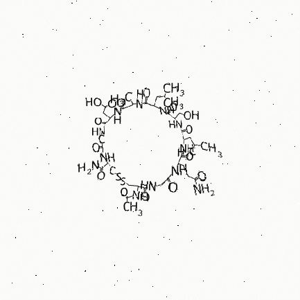 CC(=O)NC1CSSCC(C(N)=O)NC(=O)CNC(=O)C(CC(=O)O)NC(=O)C(C)NC(=O)C(CC(C)C)NC(=O)C(CO)NC(=O)C(CC(C)C)NC(=O)C(CCC(N)=O)NC(=O)CNC1=O